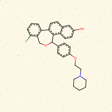 Oc1ccc2c3c(ccc2c1)-c1cccc(F)c1COC3c1ccc(OCCN2CCCCC2)cc1